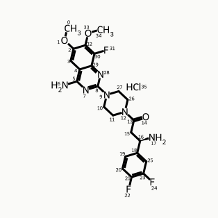 COc1cc2c(N)nc(N3CCN(C(=O)C[C@@H](N)c4ccc(F)c(F)c4)CC3)nc2c(F)c1OC.Cl